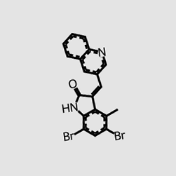 Cc1c(Br)cc(Br)c2c1C(=Cc1cnc3ccccc3c1)C(=O)N2